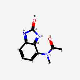 CC(=O)N(C)c1cccc2c1=NC(=O)N=2